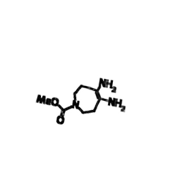 COC(=O)N1CCC(N)=C(N)CC1